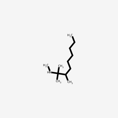 CCCCCCC(C)C(C)(C)NC